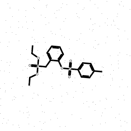 CCOP(=O)(Cc1ccccc1OS(=O)(=O)c1ccc(C)cc1)OCC